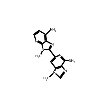 Cn1cnc2c(N)nc(-c3nc4c(N)ccnc4n3C)cc21